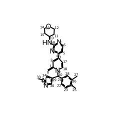 C=C1C=C(c2ccnc(NC3CCOCC3)n2)C=CN1C(c1ccc(C)c(C)c1)c1cnn(C)c1